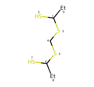 CCC(S)SCSC(S)CC